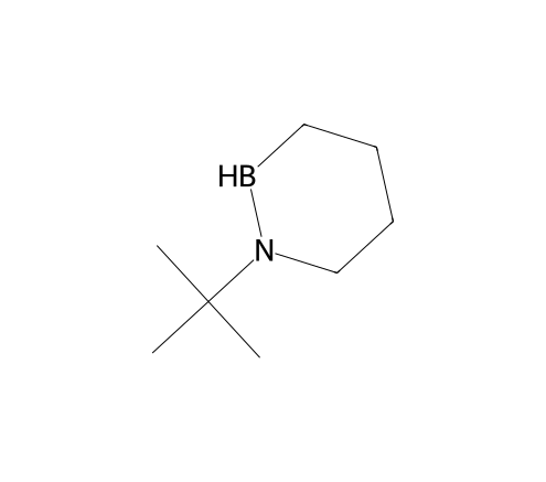 CC(C)(C)N1BCCCC1